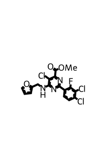 COC(=O)c1nc(-c2ccc(Cl)c(Cl)c2F)nc(NCc2ccco2)c1Cl